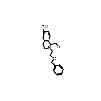 O=CC1c2ccc(O)cc2CCN1CCOCc1ccccc1